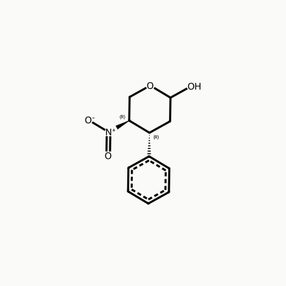 O=[N+]([O-])[C@H]1COC(O)C[C@@H]1c1ccccc1